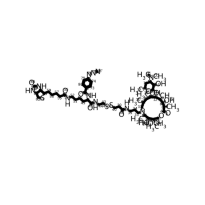 CC[C@H]1OC(=O)[C@H](C)[C@@H](O)[C@H](C)[C@@H](O[C@@H]2O[C@H](C)C[C@H](N(C)C)[C@H]2O)[C@](C)(O)C[C@@H](C)CN(CCCNC(=O)CCSSCCNC(=O)C(CCCCNC(=O)CCCCC2SCC3NC(=O)NC32)NC(=O)c2ccc(N=[N+]=[N-])cc2)[C@H](C)[C@@H](O)[C@]1(C)O